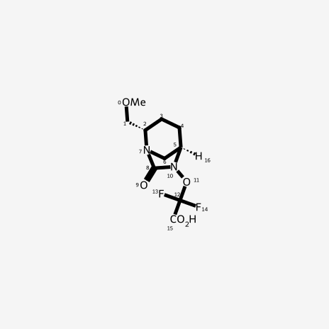 COC[C@@H]1CC[C@@H]2CN1C(=O)N2OC(F)(F)C(=O)O